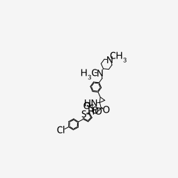 CN1CCC(N(C)Cc2cccc(C3CC3(NS(=O)(=O)c3ccc(-c4ccc(Cl)cc4)s3)C(=O)O)c2)CC1